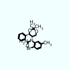 Cc1ccc(Br)c(N(C(N)=O)[C@H]2COC(C)(C)O[C@@H]2c2ccccc2)c1